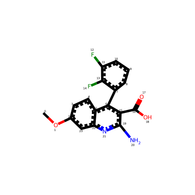 COc1ccc2c(-c3cccc(F)c3F)c(C(=O)O)c(N)nc2c1